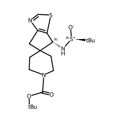 CC(C)(C)OC(=O)N1CCC2(CC1)Cc1ncsc1[C@@H]2N[S@@+]([O-])C(C)(C)C